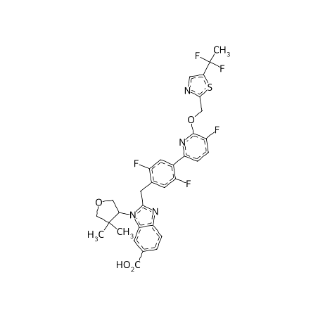 CC(F)(F)c1cnc(COc2nc(-c3cc(F)c(Cc4nc5ccc(C(=O)O)cc5n4C4COCC4(C)C)cc3F)ccc2F)s1